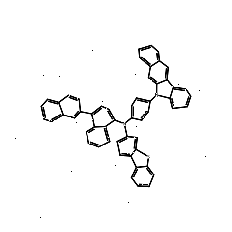 c1ccc2cc(-c3ccc(N(c4ccc(-n5c6ccccc6c6cc7ccccc7cc65)cc4)c4ccc5c(c4)sc4ccccc45)c4ccccc34)ccc2c1